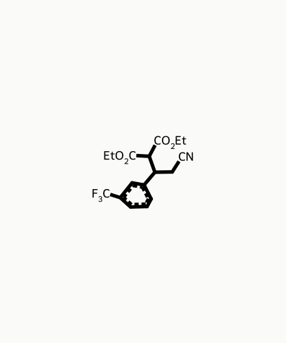 CCOC(=O)C(C(=O)OCC)C(CC#N)c1cccc(C(F)(F)F)c1